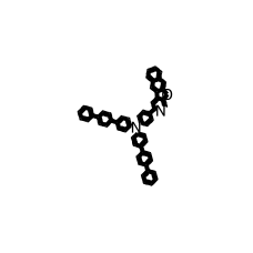 C1=CC(c2ccc(N(c3ccc(-c4ccc(-c5ccccc5)cc4)cc3)c3ccc(-c4cc5c(cn4)oc4cc6ccccc6cc45)cc3)cc2)CC=C1c1ccccc1